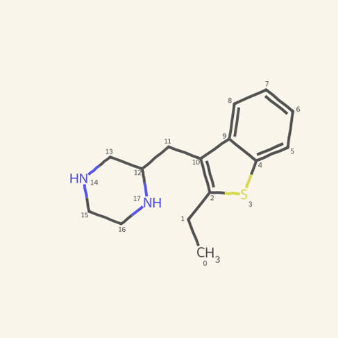 CCc1sc2ccccc2c1CC1CNCCN1